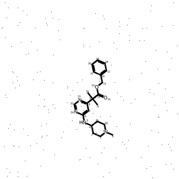 CN1CCC(Nc2cc(C(C)(C)C(=O)OCc3ccccc3)ncn2)CC1